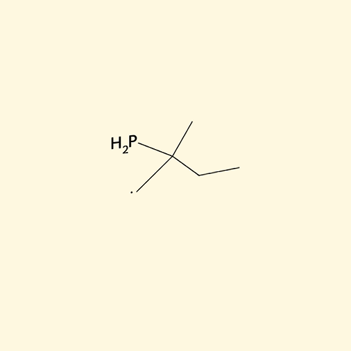 [CH2]C(C)(P)CC